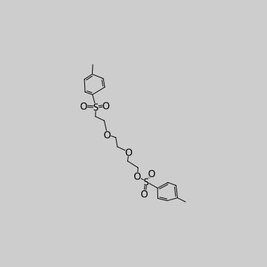 Cc1ccc(S(=O)(=O)CCOCCOCCOS(=O)(=O)c2ccc(C)cc2)cc1